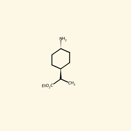 CCOC(=O)C(C)[C@H]1CC[C@H](N)CC1